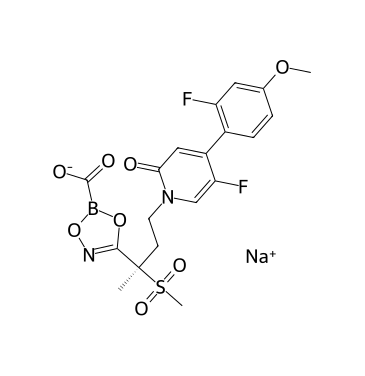 COc1ccc(-c2cc(=O)n(CC[C@](C)(C3=NOB(C(=O)[O-])O3)S(C)(=O)=O)cc2F)c(F)c1.[Na+]